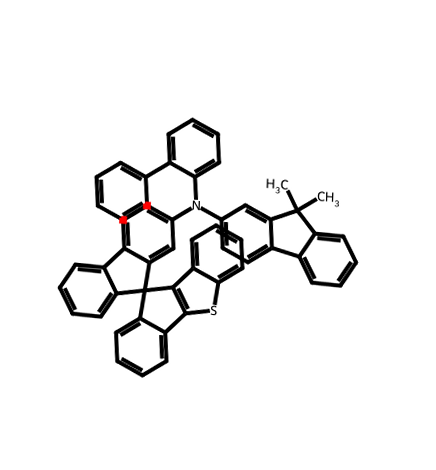 CC1(C)c2ccccc2-c2ccc(N(c3ccc4c(c3)C3(c5ccccc5-4)c4ccccc4-c4sc5ccccc5c43)c3ccccc3-c3ccccc3)cc21